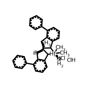 CC1=Cc2c(-c3ccccc3)cccc2[CH]1[Hf]([CH3])([CH3])(=[SiH2])[CH]1C(C(C)C)=Cc2c(-c3ccccc3)cccc21.Cl.Cl